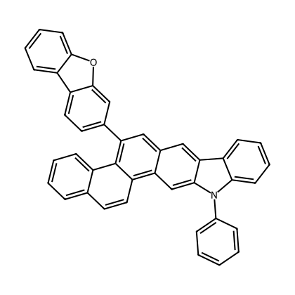 c1ccc(-n2c3ccccc3c3cc4cc(-c5ccc6c(c5)oc5ccccc56)c5c6ccccc6ccc5c4cc32)cc1